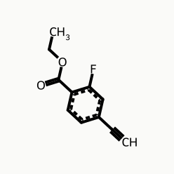 C#Cc1ccc(C(=O)OCC)c(F)c1